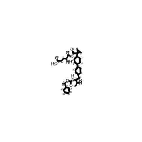 Cc1noc(-c2ccc(-c3ccc(C4(C(=O)OC(=O)[C@@H](N)CCC(=O)O)CC4)cc3)cc2)c1NC(=O)O[C@H](C)c1ccccc1